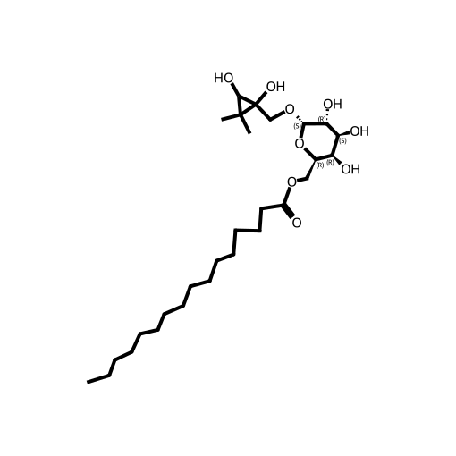 CCCCCCCCCCCCCCCC(=O)OC[C@H]1O[C@H](OCC2(O)C(O)C2(C)C)[C@H](O)[C@@H](O)[C@H]1O